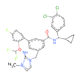 Cn1ccn(Cc2cc(C(=O)NC(c3ccc(Cl)c(Cl)c3)C3CC3)cc(-c3ccc(F)cc3OC(F)F)c2)c1=N